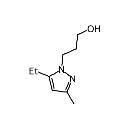 CCc1cc(C)nn1CCCO